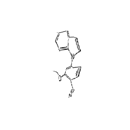 COc1cc(-n2ccc3c[c]ccc32)ccc1C#N